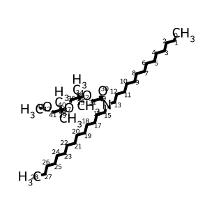 CCCCCCCCCCCCCCN(CCCCCCCCCCCCCC)C(=O)COC(C)(C)COC(C)(C)COC